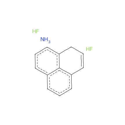 C1=Cc2cccc3cccc(c23)C1.F.F.N